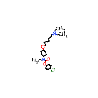 CCN(CC)CCCCCCO[C@H]1CC[C@H](N(C)C(=O)Oc2ccc(Cl)cc2)CC1